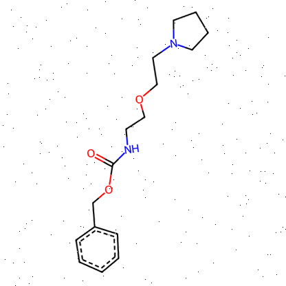 O=C(NCCOCCN1CCCC1)OCc1ccccc1